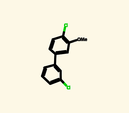 COc1cc(-c2[c]ccc(Cl)c2)ccc1Cl